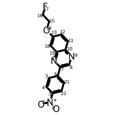 O=[N+]([O-])c1ccc(-c2cnc3ccc(OCCF)cc3n2)cc1